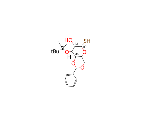 CC(C)(C)[Si](C)(C)OC1[C@@H]2OC(c3ccccc3)OCC2O[C@@H](S)[C@H]1O